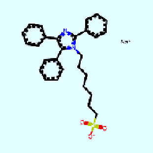 O=S(=O)([O-])CCCCCCCn1c(-c2ccccc2)nc(-c2ccccc2)c1-c1ccccc1.[Na+]